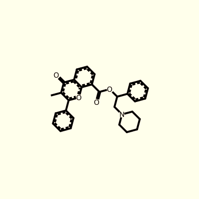 Cc1c(-c2ccccc2)oc2c(C(=O)OC(CN3CCCCC3)c3ccccc3)cccc2c1=O